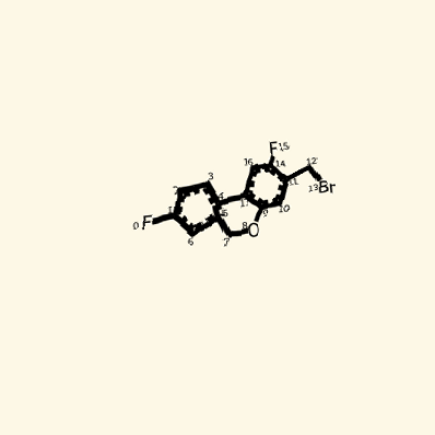 Fc1ccc2c(c1)COc1cc(CBr)c(F)cc1-2